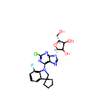 OC[C@H]1O[C@@H](n2cnc3c(N4CC5(CCCC5)c5cccc(F)c54)nc(Cl)nc32)C(O)C1O